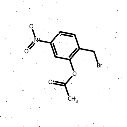 CC(=O)Oc1cc([N+](=O)[O-])ccc1CBr